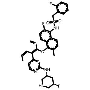 C=N/C(Oc1c(C)ccc2c(NS(=O)(=O)Cc3ccccc3F)c(F)ccc12)=C(\C=C/C)c1ccnc(N[C@H]2CNC[C@H](F)C2)n1